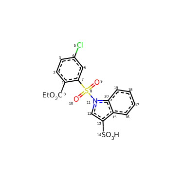 CCOC(=O)c1ccc(Cl)cc1S(=O)(=O)n1cc(S(=O)(=O)O)c2ccccc21